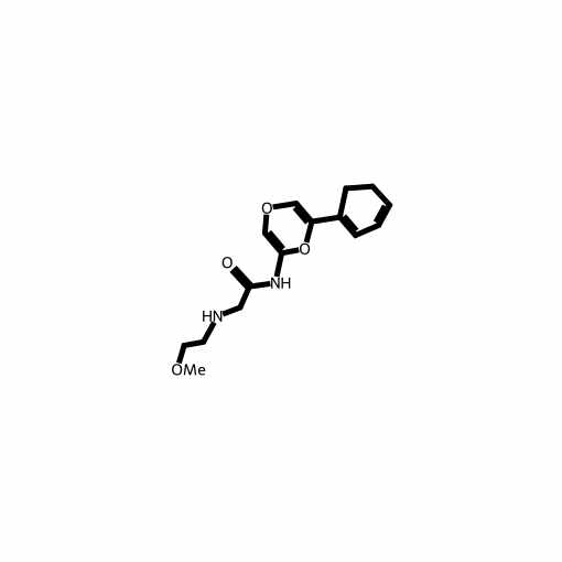 COCCNCC(=O)NC1=COC=C(C2=CC=CCC2)O1